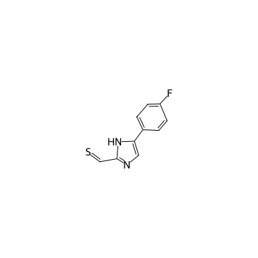 Fc1ccc(-c2cnc(C=S)[nH]2)cc1